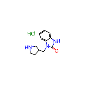 Cl.O=c1[nH]c2ccccc2n1CC1CCNC1